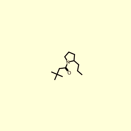 CCCC1CCCN1C(=O)CC(C)(C)C